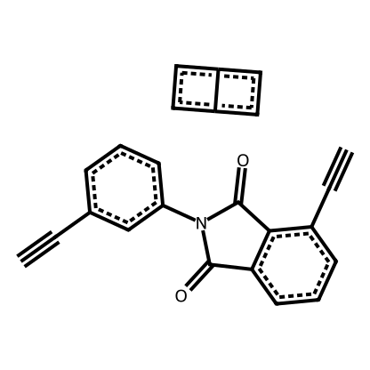 C#Cc1cccc(N2C(=O)c3cccc(C#C)c3C2=O)c1.c1cc2ccc1-2